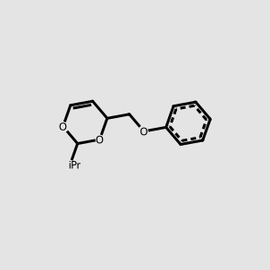 CC(C)C1OC=CC(COc2ccccc2)O1